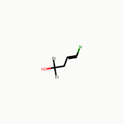 CCC(O)(CC)CC=CBr